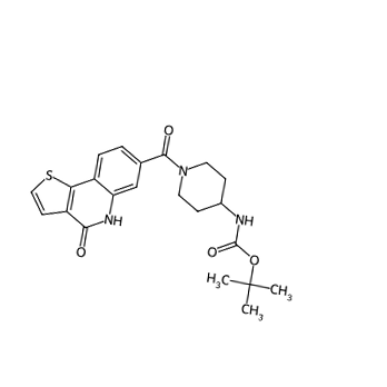 CC(C)(C)OC(=O)NC1CCN(C(=O)c2ccc3c(c2)[nH]c(=O)c2ccsc23)CC1